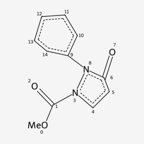 COC(=O)n1ccc(=O)n1-c1ccccc1